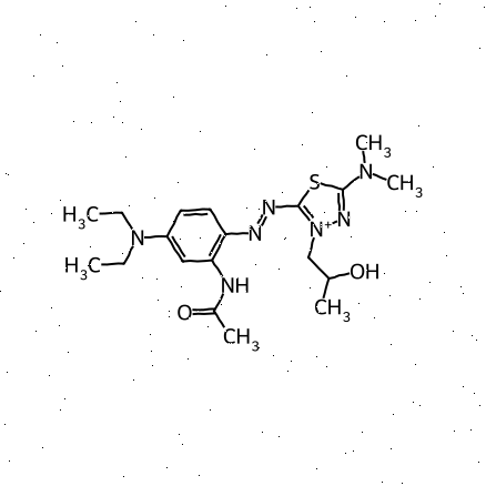 CCN(CC)c1ccc(N=Nc2sc(N(C)C)n[n+]2CC(C)O)c(NC(C)=O)c1